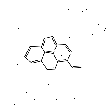 C=Cc1ccc2ccc3cccc4ccc1c2c34